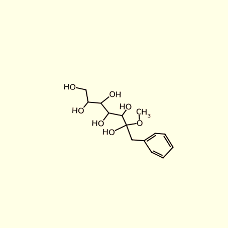 COC(O)(Cc1ccccc1)C(O)C(O)C(O)C(O)CO